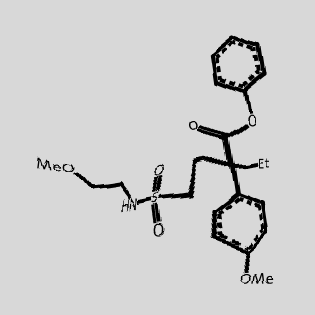 CCC(CCS(=O)(=O)NCCOC)(C(=O)Oc1ccccc1)c1ccc(OC)cc1